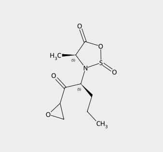 CCC[C@@H](C(=O)C1CO1)N1[C@@H](C)C(=O)OS1=O